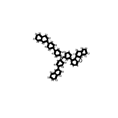 c1cc(-c2cccc3oc4c5ccccc5ccc4c23)cc(N(c2ccc(-c3ccc(-c4ccc5ccccc5c4)cc3)cc2)c2ccc(-c3ccc4ccccc4c3)cc2)c1